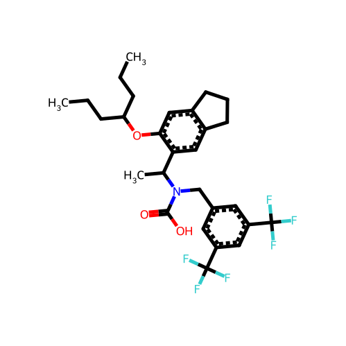 CCCC(CCC)Oc1cc2c(cc1C(C)N(Cc1cc(C(F)(F)F)cc(C(F)(F)F)c1)C(=O)O)CCC2